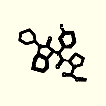 COC(=O)N1CCC[C@H]1C(=O)N(c1cccc(F)c1)[C@@H]1C(=O)N(C2CCCCC2)c2ccccc21